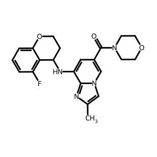 Cc1cn2cc(C(=O)N3CCOCC3)cc(NC3CCOc4cccc(F)c43)c2n1